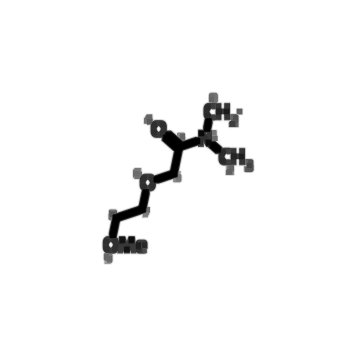 [CH2]N(C)C(=O)COCCOC